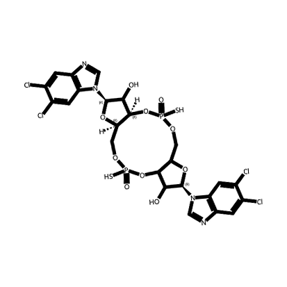 O=P1(S)OC[C@H]2O[C@@H](n3cnc4cc(Cl)c(Cl)cc43)C(O)[C@H]2OP(=O)(S)OCC2O[C@@H](n3cnc4cc(Cl)c(Cl)cc43)C(O)C2O1